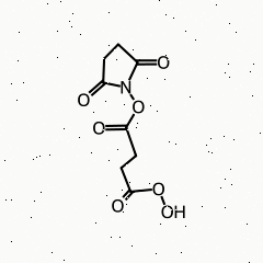 O=C(CCC(=O)ON1C(=O)CCC1=O)OO